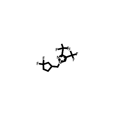 CC(F)(F)c1nn(CC2CCC(F)(F)C2)cc1C(F)(F)F